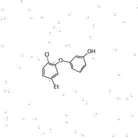 CCc1ccc(Cl)c(Oc2cccc(O)c2)c1